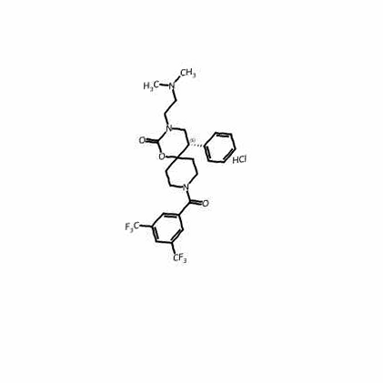 CN(C)CCN1C[C@H](c2ccccc2)C2(CCN(C(=O)c3cc(C(F)(F)F)cc(C(F)(F)F)c3)CC2)OC1=O.Cl